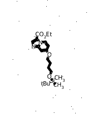 CCOC(=O)c1cnc2cc(OCCCCO[Si](C)(C)C(C)(C)C)ccn12